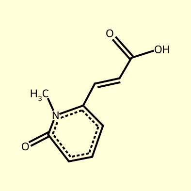 Cn1c(/C=C/C(=O)O)cccc1=O